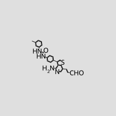 Cc1cccc(NC(=O)Nc2ccc(-c3csc4c(C=CC=O)cnc(N)c34)cc2)c1